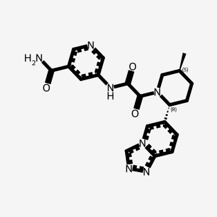 C[C@H]1CC[C@H](c2ccc3nncn3c2)N(C(=O)C(=O)Nc2cncc(C(N)=O)c2)C1